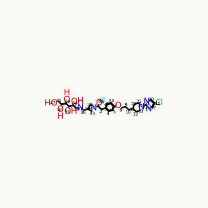 O=C(Cc1ccc(OCCCC2CCN(c3ncc(Cl)cn3)CC2)cc1F)N1CC(CNC[C@H](O)[C@@H](O)[C@H](O)C(O)CO)C1